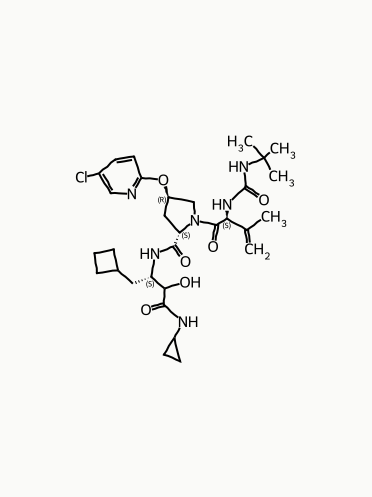 C=C(C)[C@H](NC(=O)NC(C)(C)C)C(=O)N1C[C@H](Oc2ccc(Cl)cn2)C[C@H]1C(=O)N[C@@H](CC1CCC1)C(O)C(=O)NC1CC1